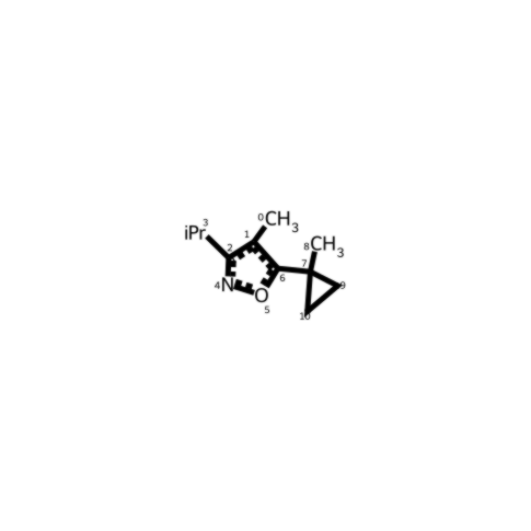 Cc1c(C(C)C)noc1C1(C)CC1